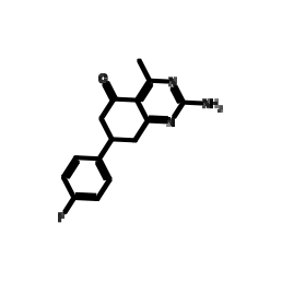 Cc1nc(N)nc2c1C(=O)CC(c1ccc(F)cc1)C2